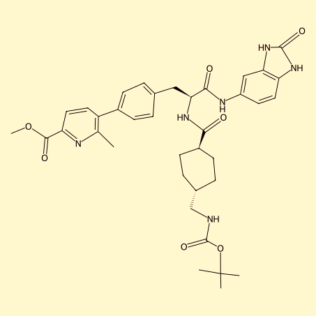 COC(=O)c1ccc(-c2ccc(C[C@H](NC(=O)[C@H]3CC[C@H](CNC(=O)OC(C)(C)C)CC3)C(=O)Nc3ccc4[nH]c(=O)[nH]c4c3)cc2)c(C)n1